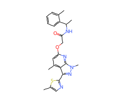 Cc1cnc(-c2nn(C)c3nc(OCC(=O)NC(C)c4ccccc4C)cc(C)c23)s1